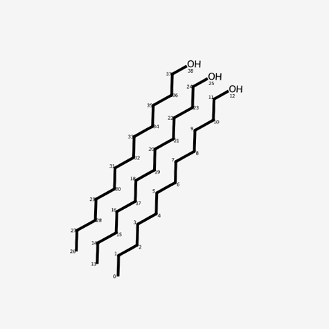 CCCCCCCCCCCCO.CCCCCCCCCCCCO.CCCCCCCCCCCCO